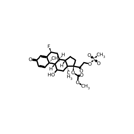 COC(=O)O[C@]1(C(=O)COS(C)(=O)=O)CC[C@H]2[C@@H]3C[C@H](F)C4=CC(=O)C=C[C@]4(C)[C@H]3C(O)C[C@@]21C